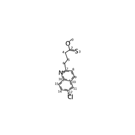 COC(=S)CCCc1ccc2cc(Cl)ccc2n1